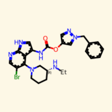 CCN[C@@H]1CCCN(c2c(Br)cnc3[nH]cc(NC(=O)Oc4cnn(Cc5ccccc5)c4)c23)C1